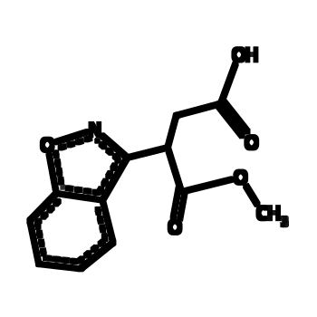 COC(=O)C(CC(=O)O)c1noc2ccccc12